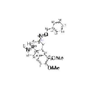 COc1ccc([C@@]23CC/C(=N\OCc4ccccc4)C[C@@H]2N(C)CC3)cc1OC